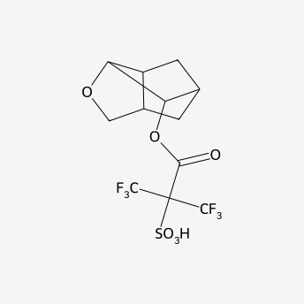 O=C(OC1C2CC3COC1C3C2)C(C(F)(F)F)(C(F)(F)F)S(=O)(=O)O